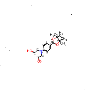 CC1(C)OB(c2ccc(N(CCO)CCO)cc2)OC1(C)C